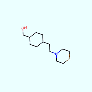 OCC1CCC(CCN2CCSCC2)CC1